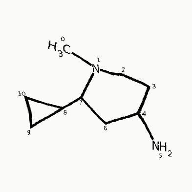 CN1CCC(N)CC1C1CC1